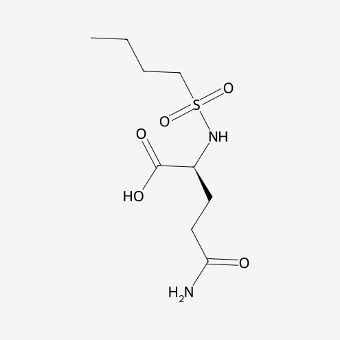 CCCCS(=O)(=O)N[C@@H](CCC(N)=O)C(=O)O